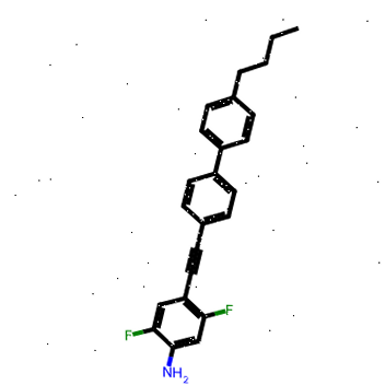 CCCCc1ccc(-c2ccc(C#Cc3cc(F)c(N)cc3F)cc2)cc1